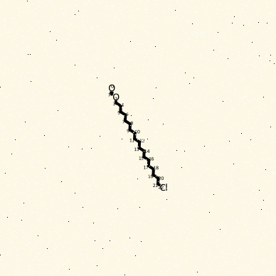 O=COCCCCCCCCCCCCCCCCCCCCl